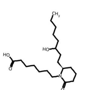 CCCCCC(O)CC[C@H]1CCCC(=O)N1CCCCCCC(=O)O